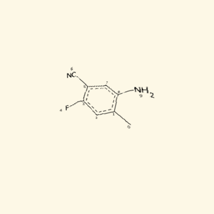 Cc1cc(F)c(C#N)cc1N